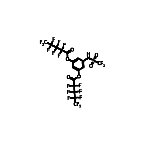 O=C(Oc1cc(NS(=O)(=O)C(F)(F)F)cc(OC(=O)C(F)(F)C(F)(F)C(F)(F)C(F)(F)F)c1)C(F)(F)C(F)(F)C(F)(F)C(F)(F)F